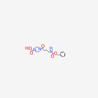 O=C(NCCCC(=O)N1CCN(C(=O)O)CC1)OCc1ccccc1